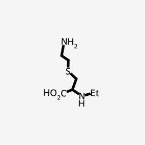 CCNC(CSCCN)C(=O)O